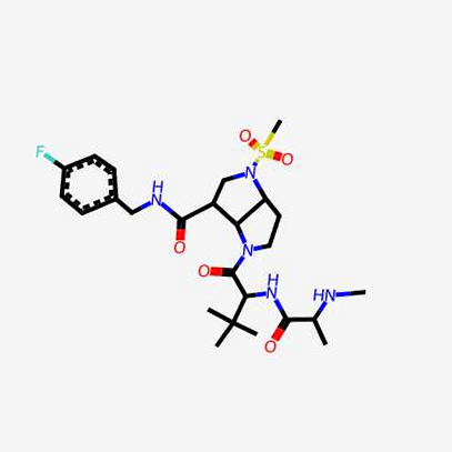 CNC(C)C(=O)NC(C(=O)N1CCC2C1C(C(=O)NCc1ccc(F)cc1)CN2S(C)(=O)=O)C(C)(C)C